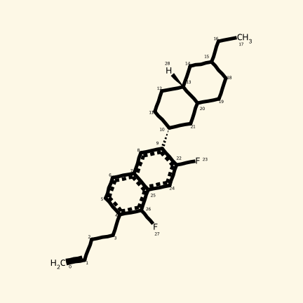 C=CCCc1ccc2cc([C@@H]3CC[C@@H]4CC(CC)CCC4C3)c(F)cc2c1F